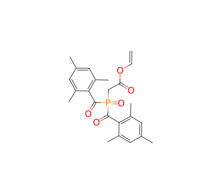 C=COC(=O)CP(=O)(C(=O)c1c(C)cc(C)cc1C)C(=O)c1c(C)cc(C)cc1C